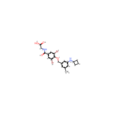 Cc1cc(COc2c(Br)cc(C(=O)NCC(=O)O)cc2Br)cc(NC2CCC2)c1